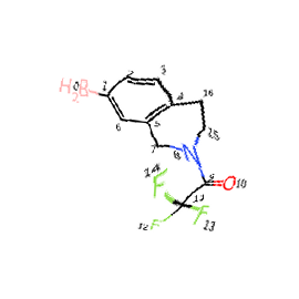 Bc1ccc2c(c1)CN(C(=O)C(F)(F)F)CC2